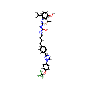 CCS/C(=N\C(=O)NCCCCc1ccc(-c2ncn(-c3ccc(OC(F)(F)F)cc3)n2)cc1)Nc1cc(OC)ccc1C(C)C